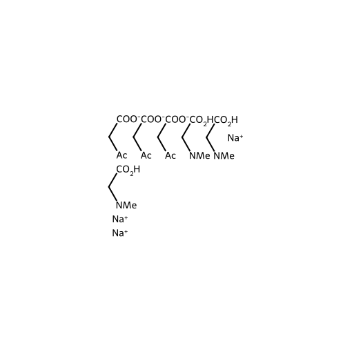 CC(=O)CC(=O)[O-].CC(=O)CC(=O)[O-].CC(=O)CC(=O)[O-].CNCC(=O)O.CNCC(=O)O.CNCC(=O)O.[Na+].[Na+].[Na+]